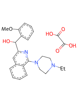 CCN1CCN(c2nc(C(O)c3ccccc3OC)cc3ccccc23)CC1.O=C(O)C(=O)O